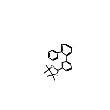 CC1(C)OB(c2cccc(-c3ccccc3-c3ccccc3)c2)OC1(C)C